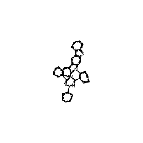 c1ccc(-c2nc(-c3ccccc3)nc(-c3ccccc3-n3c4ccccc4c4cc5c(cc43)sc3ccccc35)n2)cc1